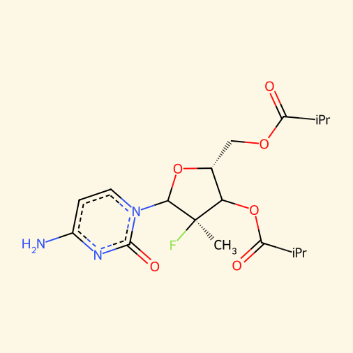 CC(C)C(=O)OC[C@H]1OC(n2ccc(N)nc2=O)[C@](C)(F)C1OC(=O)C(C)C